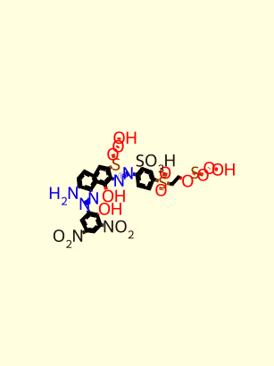 Nc1ccc2cc(SOOO)c(/N=N/c3ccc(S(=O)(=O)CCOSOOO)cc3S(=O)(=O)O)c(O)c2c1N=Nc1cc([N+](=O)[O-])cc([N+](=O)[O-])c1O